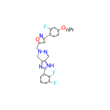 CCCOc1ccc(-c2cc(CN3Cc4nc(-c5cccc(F)c5F)[nH]c4C=N3)on2)c(F)c1